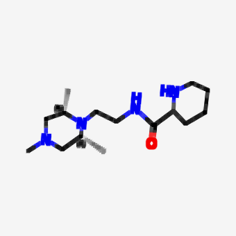 C[C@@H]1CN(C)C[C@H](C)N1CCNC(=O)C1CCCCN1